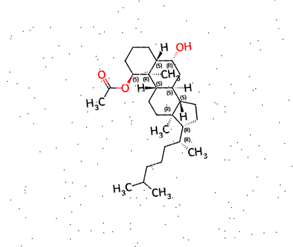 CC(=O)O[C@H]1CCC[C@@H]2[C@H](O)C[C@H]3[C@@H]4CC[C@H]([C@H](C)CCCC(C)C)[C@@]4(C)CC[C@@H]3[C@@]12C